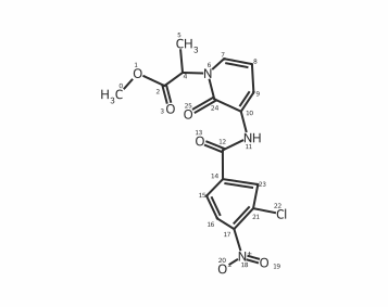 COC(=O)C(C)n1cccc(NC(=O)c2ccc([N+](=O)[O-])c(Cl)c2)c1=O